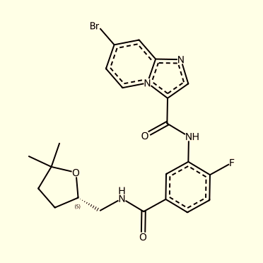 CC1(C)CC[C@@H](CNC(=O)c2ccc(F)c(NC(=O)c3cnc4cc(Br)ccn34)c2)O1